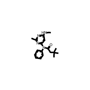 CNc1cc(N(C(=O)CC(C)(C)C)c2ccccc2)nc(C)n1